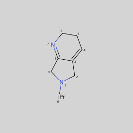 CC(C)N1CC2=CCCN=C2C1